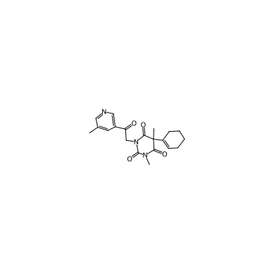 Cc1cncc(C(=O)CN2C(=O)N(C)C(=O)C(C)(C3=CCCCC3)C2=O)c1